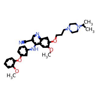 COc1cc2c(Nc3cccc(Oc4ccccc4OC)c3)c(C#N)cnc2cc1OCCCN1CCN(C(C)C)CC1